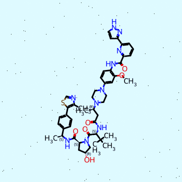 COc1cc(N2CCN([C@H](C)CC(=O)N[C@H](C(=O)N3C[C@H](O)C[C@H]3C(=O)N[C@@H](C)c3ccc(-c4scnc4C)cc3)C(C)(C)C)CC2)ccc1NC(=O)c1cccc(-c2cc[nH]n2)n1